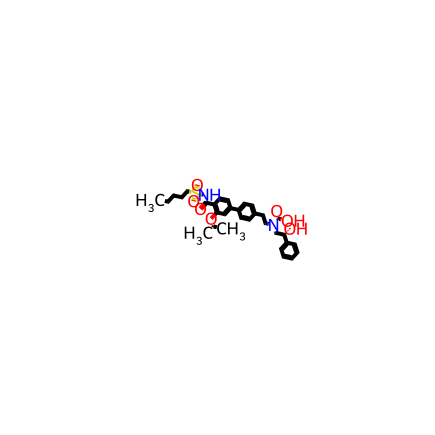 CCCCCS(=O)(=O)NC(=O)c1ccc(-c2ccc(CCN(C[C@H](O)c3ccccc3)C(=O)O)cc2)cc1OC(C)C